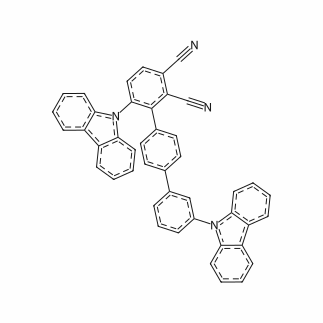 N#Cc1ccc(-n2c3ccccc3c3ccccc32)c(-c2ccc(-c3cccc(-n4c5ccccc5c5ccccc54)c3)cc2)c1C#N